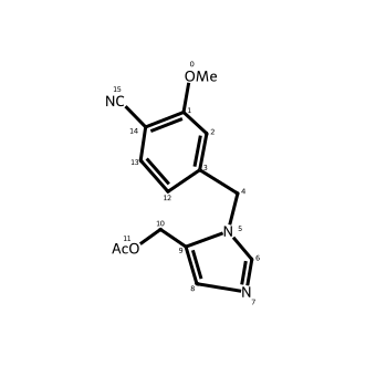 COc1cc(Cn2cncc2COC(C)=O)ccc1C#N